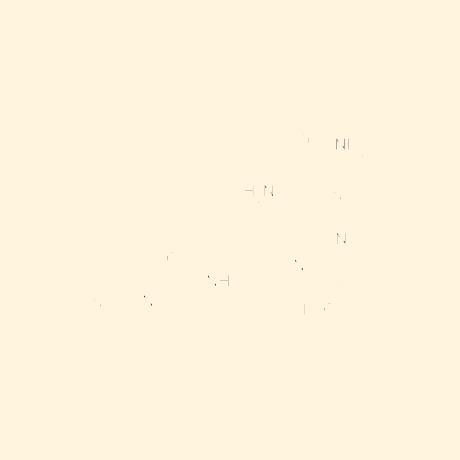 CSc1nc(-c2cccc(NC(=O)CN3CCSCC3)c2)c2c(N)c(C(N)=O)sc2n1